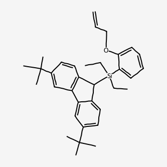 C=CCOc1ccccc1[Si](CC)(CC)C1c2ccc(C(C)(C)C)cc2-c2cc(C(C)(C)C)ccc21